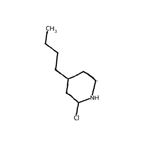 CCCCC1C[CH]NC(Cl)C1